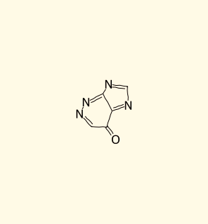 O=C1C=NN=C2N=CN=C12